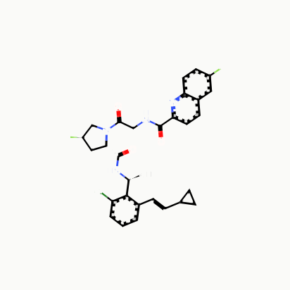 C[C@H](NC(=O)[C@@H]1C[C@@H](F)CN1C(=O)CNC(=O)c1ccc2cc(F)ccc2n1)c1c(Cl)cccc1/C=C/C1CC1